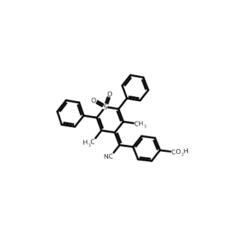 CC1=C(c2ccccc2)S(=O)(=O)C(c2ccccc2)=C(C)C1=C(C#N)c1ccc(C(=O)O)cc1